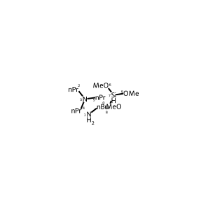 CCCCN.CCCN(CCC)CCC.CO[SiH](OC)OC